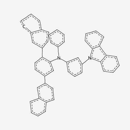 c1ccc(N(c2cccc(-n3c4ccccc4c4ccccc43)c2)c2cc(-c3ccc4ccccc4c3)ccc2-c2ccc3ccccc3c2)cc1